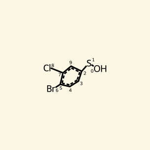 OSc1ccc(Br)c(Cl)c1